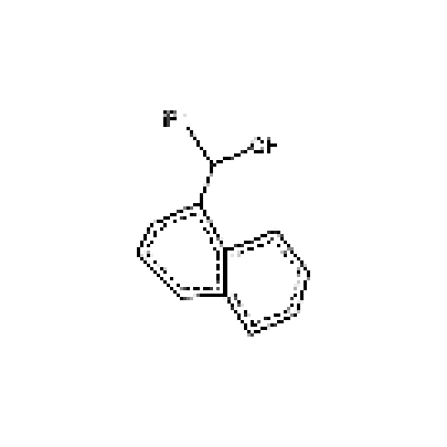 CC(C)C(O)c1cccc2ccccc12